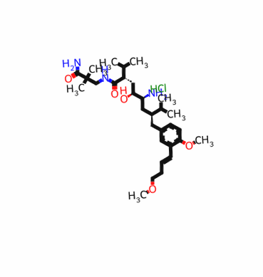 COCCC=Cc1cc(C[C@@H](C[C@H](N)[C@@H](O)C[C@H](C(=O)NCC(C)(C)C(N)=O)C(C)C)C(C)C)ccc1OC.Cl